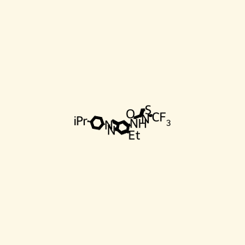 CCc1cc2nn([C@H]3CC[C@H](C(C)C)CC3)cc2cc1NC(=O)c1csc(C(F)(F)F)n1